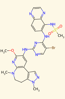 COc1nc2c(cc1Nc1ncc(Br)c(Nc3ccc4nccnc4c3NS(C)(=O)=O)n1)-c1cnn(C)c1CCN2C